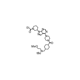 CCC(=O)N1CCCC(n2ncc3c(N4CCN(C(=O)C5CCC(CN(CCOC)C(C)(C)C)CC5)CC4)ncnc32)C1